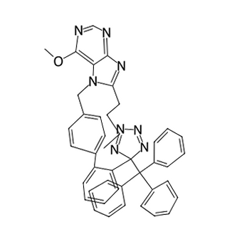 CCCCc1nc2ncnc(OC)c2n1Cc1ccc(-c2ccccc2C2(C(c3ccccc3)(c3ccccc3)c3ccccc3)N=NN=N2)cc1